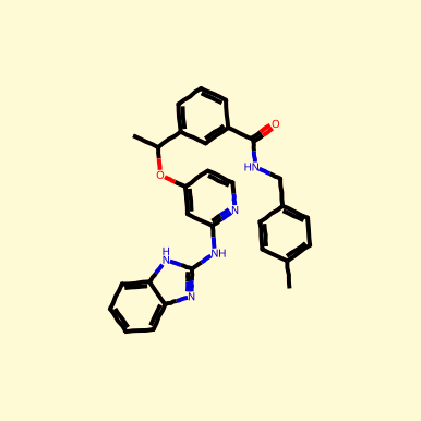 Cc1ccc(CNC(=O)c2cccc(C(C)Oc3ccnc(Nc4nc5ccccc5[nH]4)c3)c2)cc1